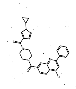 O=C(C1=CC(C2CC2)N=C1)N1CCN(C(=O)c2ccc3c(Cl)cc(-c4ccccc4)nc3c2)CC1